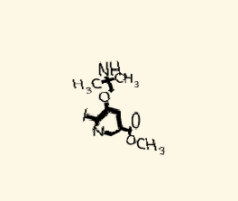 COC(=O)c1cnc(I)c(OCC(C)(C)N)c1